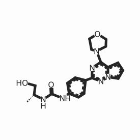 C[C@H](CO)NC(=O)Nc1ccc(-c2nc(N3CCOCC3)c3cccn3n2)cc1